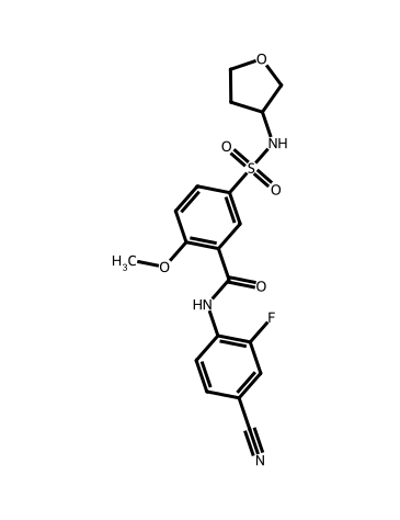 COc1ccc(S(=O)(=O)NC2CCOC2)cc1C(=O)Nc1ccc(C#N)cc1F